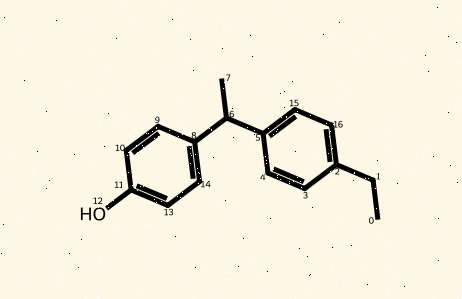 CCc1ccc(C(C)c2ccc(O)cc2)cc1